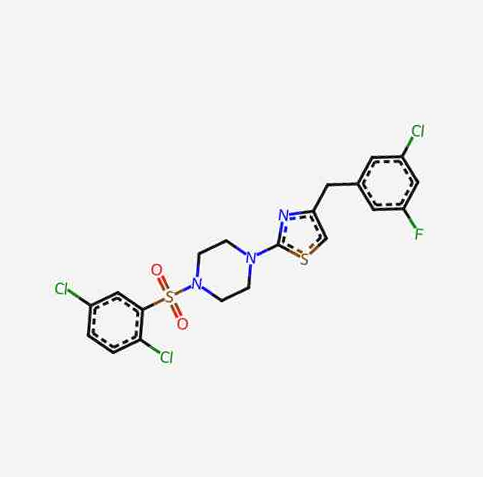 O=S(=O)(c1cc(Cl)ccc1Cl)N1CCN(c2nc(Cc3cc(F)cc(Cl)c3)cs2)CC1